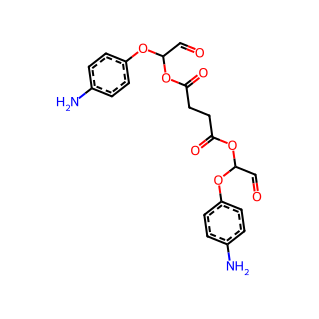 Nc1ccc(OC(C=O)OC(=O)CCC(=O)OC(C=O)Oc2ccc(N)cc2)cc1